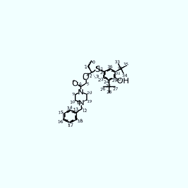 CC[C@](C)(OCC(=O)N1CCN(Cc2ccccc2)CC1)Sc1cc(C(C)(C)C)c(O)c(C(C)(C)C)c1